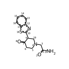 NC(=O)CN1CCC(=O)C(c2nc3ccccc3s2)C1